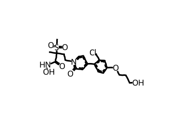 CC(CCn1ccc(-c2ccc(OCCCO)cc2Cl)cc1=O)(C(=O)NO)S(C)(=O)=O